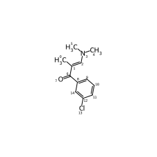 CC(=CN(C)C)C(=O)c1cccc(Cl)c1